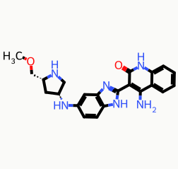 COC[C@H]1C[C@@H](Nc2ccc3[nH]c(-c4c(N)c5ccccc5[nH]c4=O)nc3c2)CN1